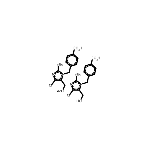 CCCCc1nc(Cl)c(CO)n1Cc1ccc(C(=O)O)cc1.CCCCc1nc(Cl)c(COC(C)=O)n1Cc1ccc(C(=O)O)cc1